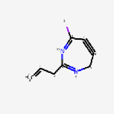 C=CCC1=NCC#CC(I)=N1